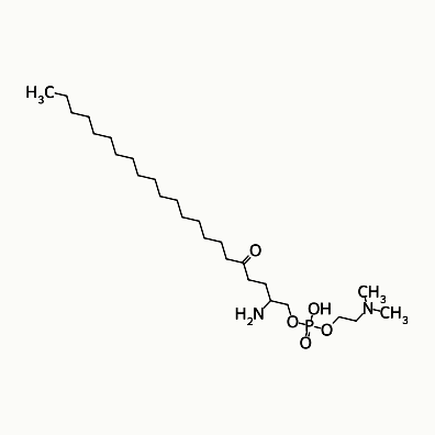 CCCCCCCCCCCCCCCCCC(=O)CCC(N)COP(=O)(O)OCCN(C)C